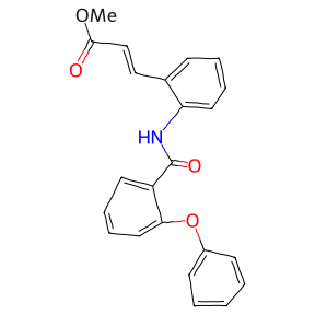 COC(=O)C=Cc1ccccc1NC(=O)c1ccccc1Oc1ccccc1